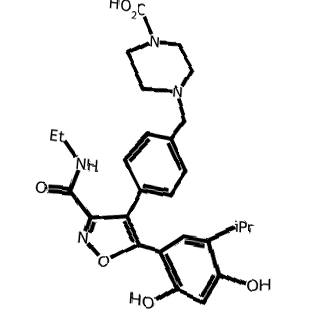 CCNC(=O)c1noc(-c2cc(C(C)C)c(O)cc2O)c1-c1ccc(CN2CCN(C(=O)O)CC2)cc1